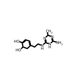 CC1N=C(N)NC(NCCC2=CC=C(O)C(O)C2)=N1